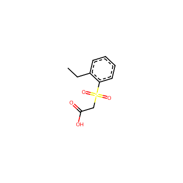 CCc1ccccc1S(=O)(=O)CC(=O)O